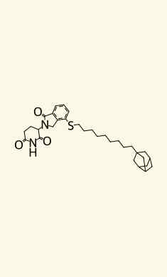 O=C1CCC(N2Cc3c(SCCCCCCCCCC45CC6CC(C4)C(C6)C5)cccc3C2=O)C(=O)N1